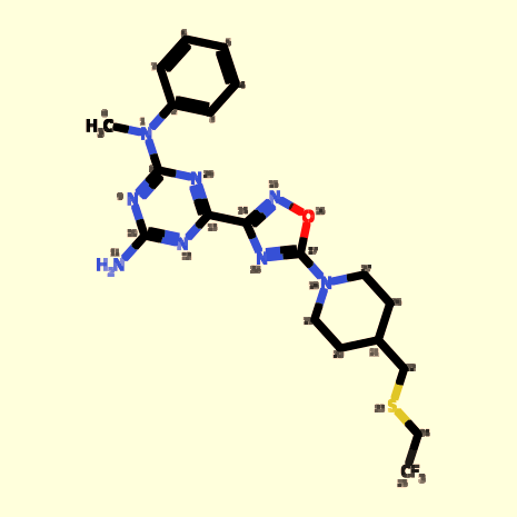 CN(c1ccccc1)c1nc(N)nc(-c2noc(N3CCC(CSCC(F)(F)F)CC3)n2)n1